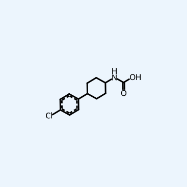 O=C(O)NC1CCC(c2ccc(Cl)cc2)CC1